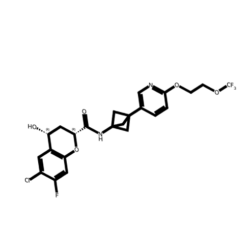 O=C(NC12CC(c3ccc(OCCOC(F)(F)F)nc3)(C1)C2)[C@H]1C[C@@H](O)c2cc(Cl)c(F)cc2O1